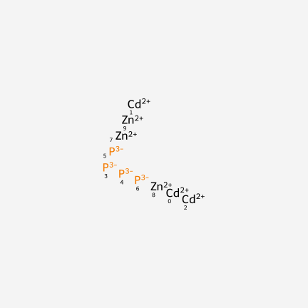 [Cd+2].[Cd+2].[Cd+2].[P-3].[P-3].[P-3].[P-3].[Zn+2].[Zn+2].[Zn+2]